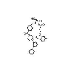 COCCCOc1cc(C)ccc1COC1CN(C(=O)c2ccc(CON(O)O)cc2)CC[C@@H]1c1cccc(-c2ccccc2)c1